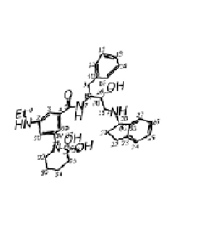 CCNc1cc(C(=O)N[C@@H](Cc2ccccc2)[C@H](O)CN[C@@H]2CCc3ccccc32)cc(N2CCCCS2(O)O)c1